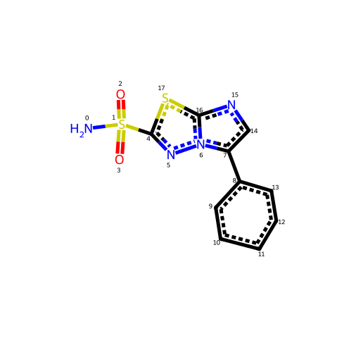 NS(=O)(=O)c1nn2c(-c3ccccc3)cnc2s1